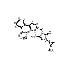 CCCCc1cn(C2CC2C(C)(C)C)c(=O)n1Cc1ccc(-c2ccccc2-c2nnn[nH]2)nc1